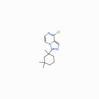 CC1(C)CCCC(C)(c2ncc3c(Cl)nccn23)C1